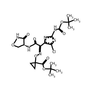 CC(C)(C)OC(=O)Nc1nc(/C(=N/OC2(C(=O)OC(C)(C)C)CC2)C(=O)N[C@H]2CONC2=O)c(Cl)s1